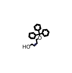 OC/C=C\COC(c1ccccc1)(c1ccccc1)c1ccccc1